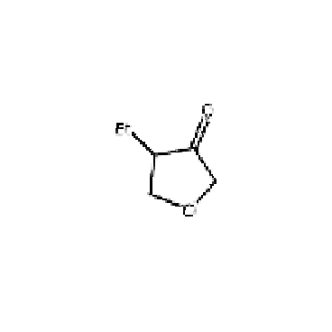 CCC1COCC1=O